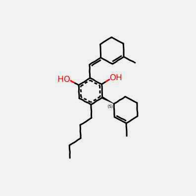 CCCCCc1cc(O)c(C=C2C=C(C)CCC2)c(O)c1[C@@H]1C=C(C)CCC1